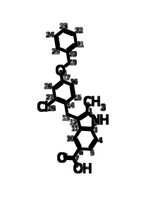 Cc1[nH]c2ccc(C(=O)O)cc2c1Cc1ccc(OCc2ccccc2)cc1Cl